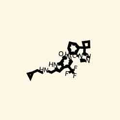 Cn1cnnc1C1(c2cccc(-n3cc(C(F)(F)F)c4cc(CNCCC5CC5)[nH]c4c3=O)c2)CCC1